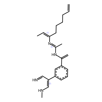 C=CCCCCC(=C/C)/N=C(\C)NC(=C)c1cccc(/C(C=N)=C/NC)c1